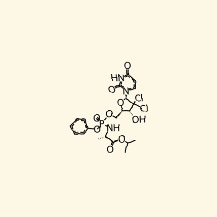 CC(C)OC(=O)[C@H](C)N[P@@](=O)(OC[C@H]1O[C@@H](n2ccc(=O)[nH]c2=O)C(Cl)(Cl)[C@@H]1O)Oc1ccccc1